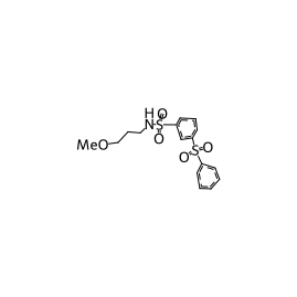 COCCCNS(=O)(=O)c1cccc(S(=O)(=O)c2ccccc2)c1